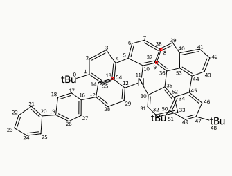 CC(C)(C)c1ccc(-c2ccccc2N(c2ccc(-c3ccc(-c4ccccc4)cc3)cc2)c2ccccc2-c2cccc3cccc(-c4cc(C(C)(C)C)cc(C(C)(C)C)c4)c23)cc1